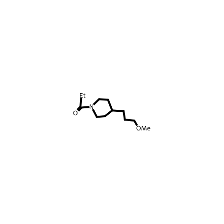 CCC(=O)N1CCC(CCCOC)CC1